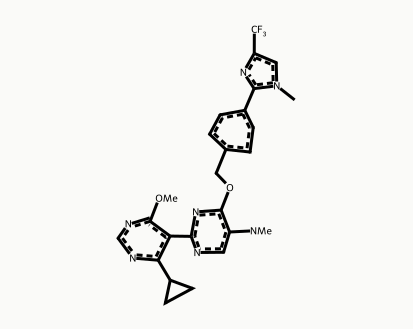 CNc1cnc(-c2c(OC)ncnc2C2CC2)nc1OCc1ccc(-c2nc(C(F)(F)F)cn2C)cc1